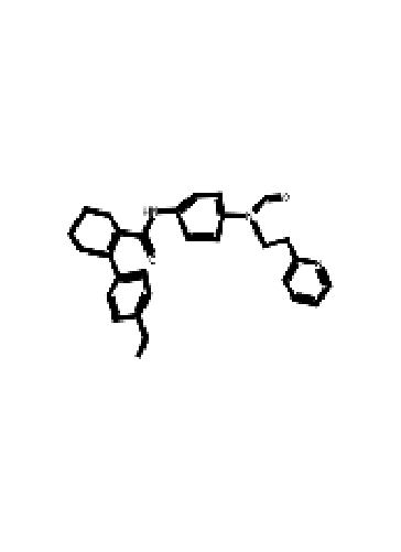 CCc1ccc(C2=C(C(=O)Nc3ccc(N(C=O)CCc4ccccn4)cc3)CCCC2)cc1